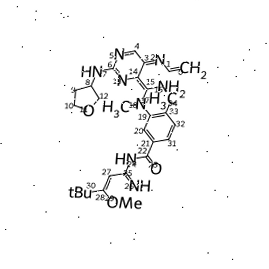 C=C/N=C1/C=NC(NC2CCOC2)=N/C1=C(/N)N(C)c1cc(C(=O)NC(=N)/C=C(\OC)C(C)(C)C)ccc1C